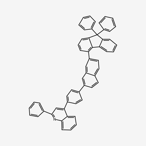 c1ccc(-c2cc(-c3ccc(-c4ccc5ccc(-c6cccc7c6-c6ccccc6C7(c6ccccc6)c6ccccc6)cc5c4)cc3)c3ccccc3n2)cc1